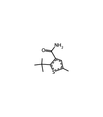 Cc1cc(C(N)=O)c(C(C)(C)C)s1